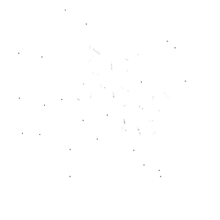 Cc1ccc2c(c1)c1cc(C(F)(F)F)ccc1n2-c1cc(C#N)c(-n2c3ccc(C(F)(F)F)cc3c3cc(C(F)(F)F)ccc32)cc1-c1cc(C#N)cc(C(F)(F)F)c1